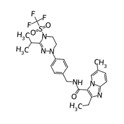 CCc1nc2ccc(C)cn2c1C(=O)NCc1ccc(N2CCN(S(=O)(=O)C(F)(F)F)C(C(C)C)=N2)cc1